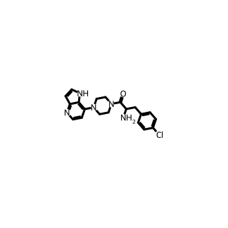 NC(Cc1ccc(Cl)cc1)C(=O)N1CCN(c2ccnc3cc[nH]c23)CC1